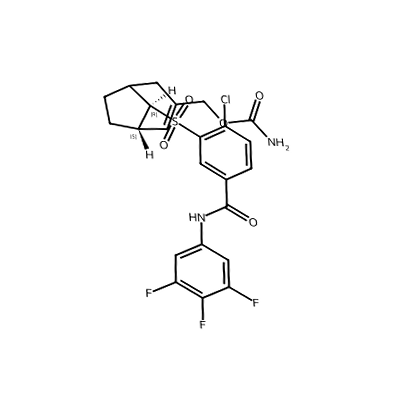 NC(=O)OCC1=C[C@@H]2CCC(C1)[C@H]2S(=O)(=O)c1cc(C(=O)Nc2cc(F)c(F)c(F)c2)ccc1Cl